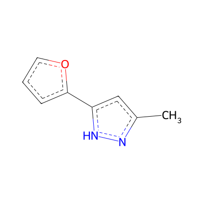 Cc1cc(-c2ccco2)[nH]n1